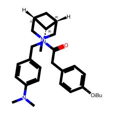 CC(C)COc1ccc(CC(=O)N(Cc2ccc(N(C)C)cc2)[C@H]2[C@@H]3C[C@H]2CN(C)C3)cc1